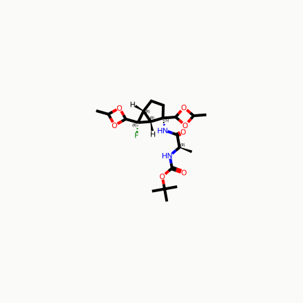 CC1OC([C@@]2(F)[C@@H]3CC[C@@](NC(=O)[C@@H](C)NC(=O)OC(C)(C)C)(C4OC(C)O4)[C@@H]32)O1